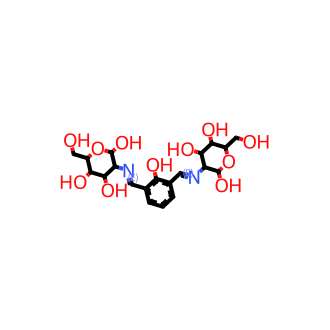 OCC1OC(O)C(/N=C/c2cccc(/C=N/C3C(O)OC(CO)C(O)C3O)c2O)C(O)C1O